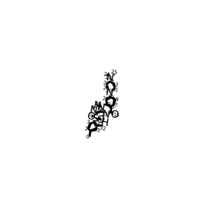 Cc1ccc(S(=O)(=O)c2nnn3c2[nH]c(=O)c2ccc(N4CCC(N(C)C)CC4)cc23)c(C)c1